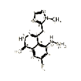 Cn1ncnc1Cc1n[nH]c(=O)c2cc(F)cc(NN)c12